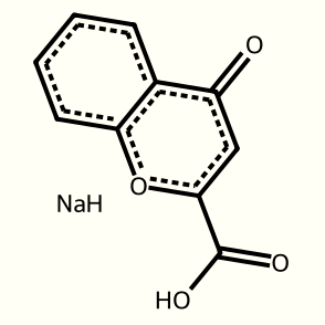 O=C(O)c1cc(=O)c2ccccc2o1.[NaH]